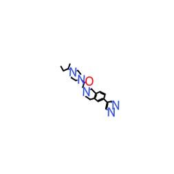 CCC(C)N1CCN(C(=O)CN2CCc3cc(-c4cncnc4)ccc3C2)CC1